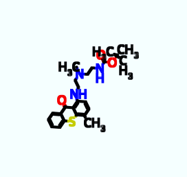 Cc1ccc(NCCN(C)CCNC(=O)OC(C)(C)C)c2c(=O)c3ccccc3sc12